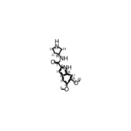 COc1cc2cc(C(=O)N[C@@H]3CCNC3)[nH]c2cc1OC